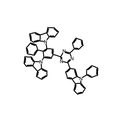 c1ccc(-c2nc(-c3cc(-n4c5ccccc5c5ccccc54)c(-c4ccccc4)c(-n4c5ccccc5c5ccccc54)c3)nc(-c3ccc4c5ccccc5n(-c5ccccc5)c4c3)n2)cc1